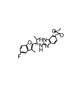 Cc1c([C@@H](Nc2nc3ccc(S(C)(=O)=O)cc3[nH]2)C(C)C)oc2ccc(F)cc12